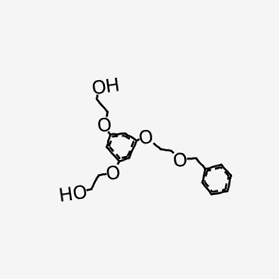 OCCOc1cc(OCCO)cc(OCCOCc2ccccc2)c1